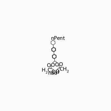 C=C(CO)C(=O)OCC(COC(=O)C(=C)COCCCC)c1ccc(-c2ccc(C3CCC(CCCCC)CC3)cc2)cc1